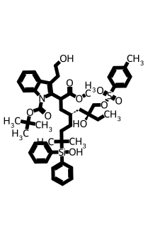 CC[C@@](O)(COS(=O)(=O)c1ccc(C)cc1)C[C@H](CCC(C)(C)[Si](O)(c1ccccc1)c1ccccc1)CC(C(=O)OC)c1c(CCO)c2ccccc2n1C(=O)OC(C)(C)C